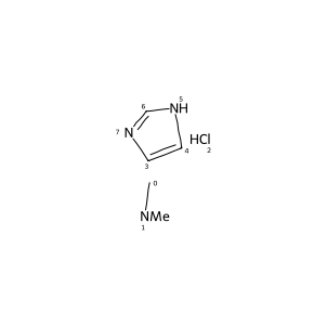 CNC.Cl.c1c[nH]cn1